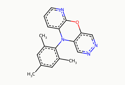 Cc1cc(C)c(N2c3cnncc3Oc3ncccc32)c(C)c1